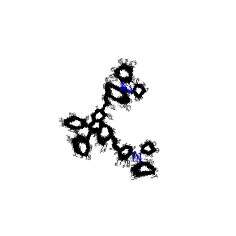 C(=C\c1ccc2c(-c3ccccc3)c(-c3ccccc3)c3ccc(/C=C/c4ccc(N(c5ccccc5)c5ccccc5)cc4)cc3c2c1)/c1ccc(N(c2ccccc2)c2ccccc2)cc1